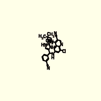 CC(C)(C)CNc1c(C#N)cnc2c(Cl)cc(NC(C3=CNNN3)c3cccc(C#N)c3)cc12